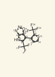 FC(F)(F)c1[nH]c2nnoc2c1-c1ccsc1C(F)(F)F